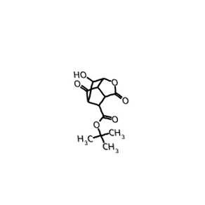 CC(C)(C)OC(=O)C1C2C(=O)C3C(OC(=O)C31)C2O